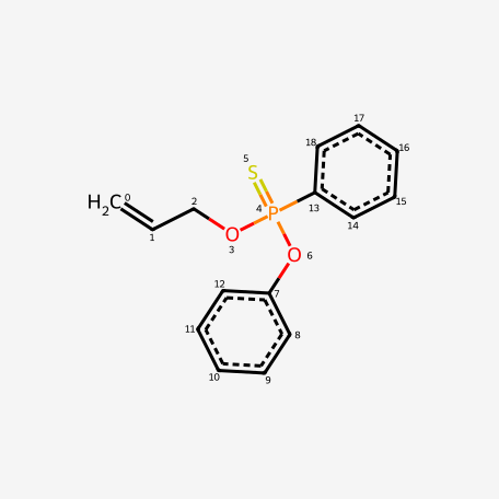 C=CCOP(=S)(Oc1ccccc1)c1ccccc1